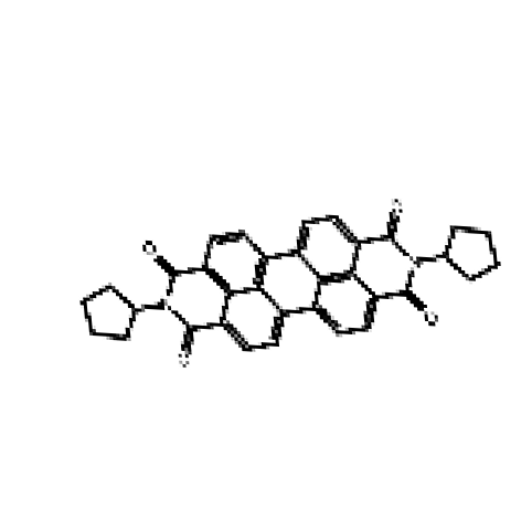 O=C1c2ccc3c4ccc5c6c(ccc(c7ccc(c2c37)C(=O)N1C1CCCC1)c64)C(=O)N(C1CCCC1)C5=O